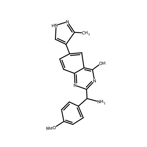 COc1ccc(C(N)c2nc(O)c3cc(-c4c[nH]nc4C)ccc3n2)cc1